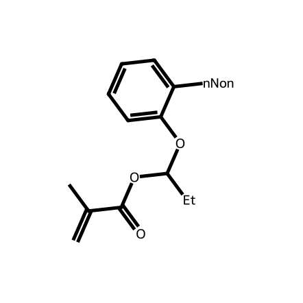 C=C(C)C(=O)OC(CC)Oc1ccccc1CCCCCCCCC